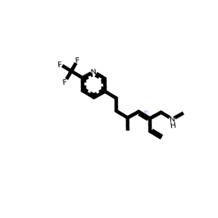 C=C/C(=C\C(C)CCc1ccc(C(F)(F)F)nc1)CNC